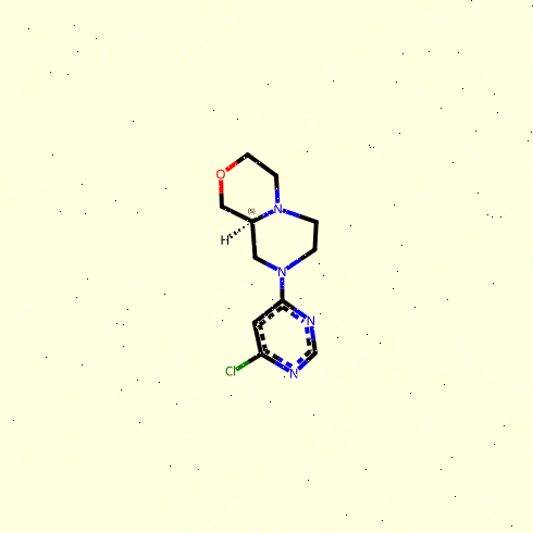 Clc1cc(N2CCN3CCOC[C@@H]3C2)ncn1